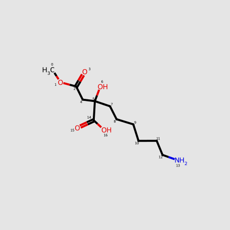 COC(=O)CC(O)(CCCCCCN)C(=O)O